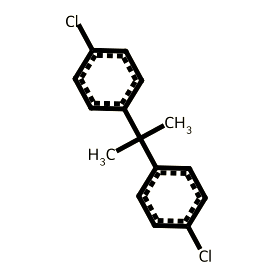 CC(C)(c1ccc(Cl)cc1)c1ccc(Cl)cc1